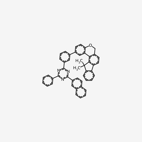 CC1(C)c2ccccc2-c2ccc3c(c21)-c1cc(-c2cccc(-c4nc(-c5ccccc5)nc(-c5ccc6ccccc6c5)n4)c2)ccc1OC3